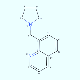 c1cnc2c(CN3CCCC3)cccc2c1